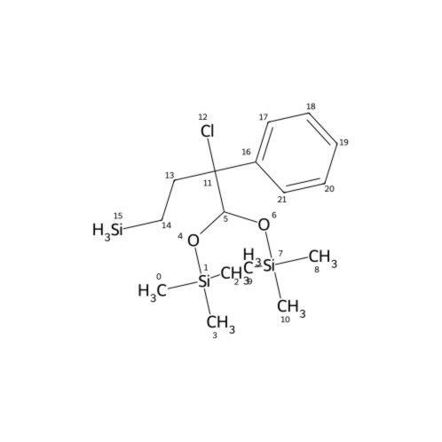 C[Si](C)(C)OC(O[Si](C)(C)C)C(Cl)(CC[SiH3])c1ccccc1